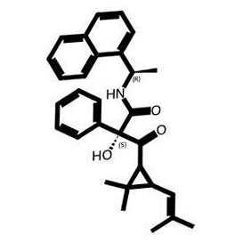 CC(C)=CC1C(C(=O)[C@](O)(C(=O)N[C@H](C)c2cccc3ccccc23)c2ccccc2)C1(C)C